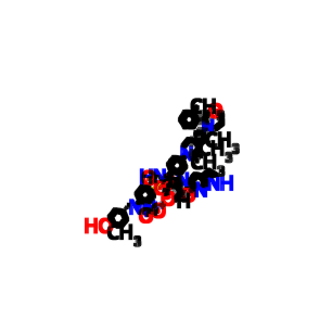 Cc1ccccc1[C@@H]1COCCCN1[C@@H]1C[C@@]2(CCN(c3ccc(C(=O)NS(=O)(=O)c4ccc(NC[C@H]5CC[C@](C)(O)CC5)c([N+](=O)[O-])c4)c(N4c5cc6cc[nH]c6nc5O[C@H]5COCC[C@@H]54)c3)[C@H](C)C2)C1(C)C